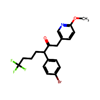 COc1ccc(CC(=O)C(CCCC(F)(F)F)c2ccc(Br)cc2)cn1